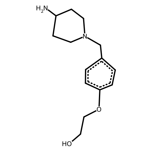 NC1CCN(Cc2ccc(OCCO)cc2)CC1